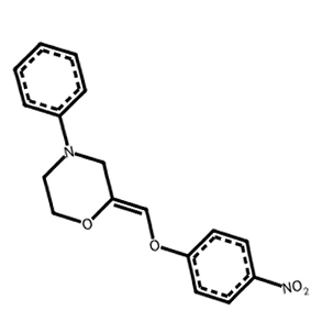 O=[N+]([O-])c1ccc(OC=C2CN(c3ccccc3)CCO2)cc1